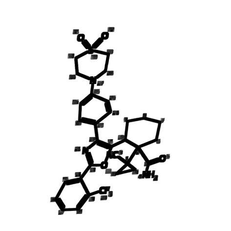 N#CC1(C2(C(N)=O)CCCCC2c2oc(-c3ccccc3C(F)(F)F)nc2-c2ccc(N3CCS(=O)(=O)CC3)cc2)CC1